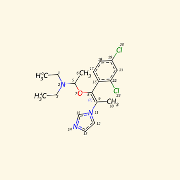 CCN(CC)C(C)O/C(=C(/C)n1ccnc1)c1ccc(Cl)cc1Cl